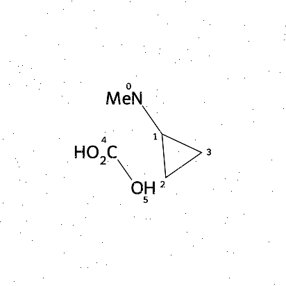 CNC1CC1.O=C(O)O